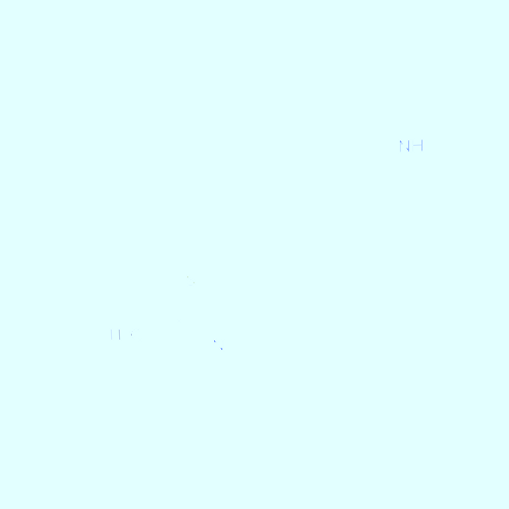 Cc1nc2ccc(C3CCNCC3)cc2s1